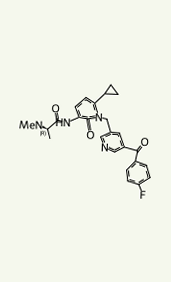 CN[C@H](C)C(=O)Nc1ccc(C2CC2)n(Cc2cncc(C(=O)c3ccc(F)cc3)c2)c1=O